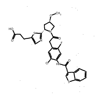 CO[C@@H]1C[C@@H](c2ncc(CCC(=O)O)s2)N(C(=O)Cc2cc(Cl)c(NC(=O)c3csc4ccccc34)cc2F)C1